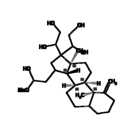 C=C1CCCC2CC[C@@H]3[C@@H](CC[C@@]4(C)[C@H]3C(CC(O)OC)CC4(C(O)CO)C(O)CO)[C@@]12C